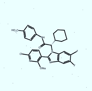 COc1nc(Cl)ccc1-c1nc2cc(F)c(F)cc2n1[C@H](C(=O)Nc1ccc(C(=O)O)cc1)C1CCCCC1